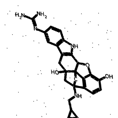 NC(N)=Nc1ccc2[nH]c3c(c2c1)CC1(O)CC2(NCC4CC4)CC14c1c2ccc(O)c1OC34